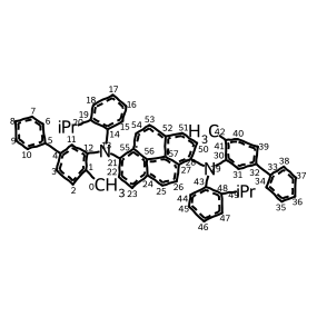 Cc1ccc(-c2ccccc2)cc1N(c1ccccc1C(C)C)c1ccc2ccc3c(N(c4cc(-c5ccccc5)ccc4C)c4ccccc4C(C)C)ccc4ccc1c2c43